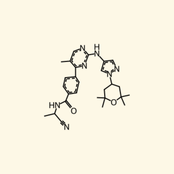 Cc1cnc(Nc2cnn(C3CC(C)(C)OC(C)(C)C3)c2)nc1-c1ccc(C(=O)NC(C)C#N)cc1